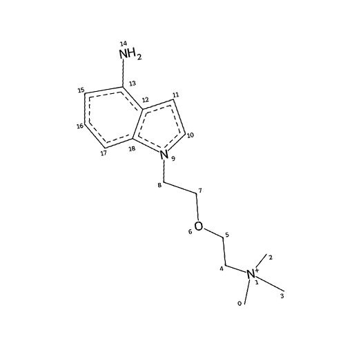 C[N+](C)(C)CCOCCn1ccc2c(N)cccc21